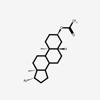 CC(=O)[C@H]1CCC2C3CC[C@H]4C[C@H](OC(=O)C(F)(F)F)CC[C@]4(C)C3CC[C@@]21C